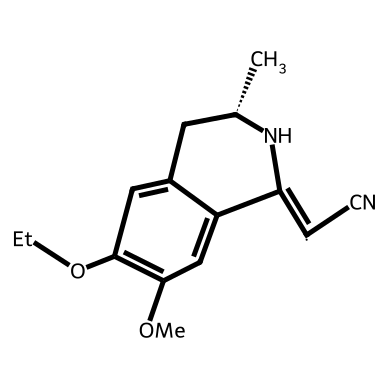 CCOc1cc2c(cc1OC)C(=[C]C#N)N[C@@H](C)C2